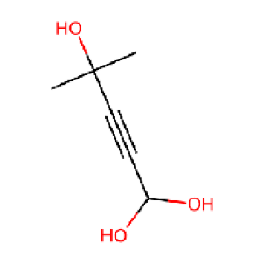 CC(C)(O)C#CC(O)O